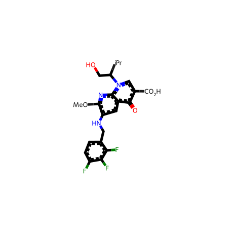 COc1nc2c(cc1NCc1ccc(F)c(F)c1F)c(=O)c(C(=O)O)cn2C(CO)C(C)C